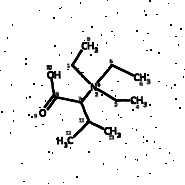 CC[N+](CC)(CC)C(C(=O)O)C(C)C